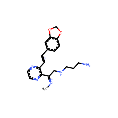 C/N=C(/CNCCCN)c1nccnc1/C=C/c1ccc2c(c1)OCO2